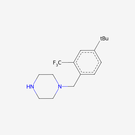 CC(C)(C)c1ccc(CN2CCNCC2)c(C(F)(F)F)c1